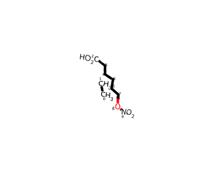 CC.O=C(O)CCCCCO[N+](=O)[O-]